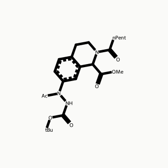 CCCCCC(=O)N1CCc2ccc(N(NC(=O)OC(C)(C)C)C(C)=O)cc2C1C(=O)OC